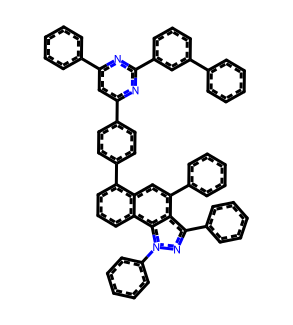 c1ccc(-c2cccc(-c3nc(-c4ccccc4)cc(-c4ccc(-c5cccc6c5cc(-c5ccccc5)c5c(-c7ccccc7)nn(-c7ccccc7)c56)cc4)n3)c2)cc1